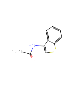 CNC(=O)Nc1csc2ccccc12